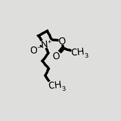 CCCCC[N+]1([O-])CCC1OC(C)=O